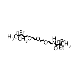 CCCC(C)(C)CCCOCCOCCOCCNC(=O)C(C)(CC)CCC